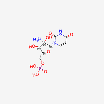 N[C@@]1(O)[C@H](O)[C@@H](COP(=O)(O)O)O[C@H]1n1ccc(=O)[nH]c1=O